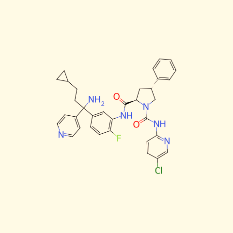 NC(CCC1CC1)(c1ccncc1)c1ccc(F)c(NC(=O)[C@H]2C[C@H](c3ccccc3)CN2C(=O)Nc2ccc(Cl)cn2)c1